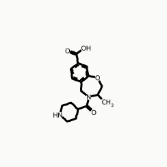 CC1COc2cc(C(=O)O)ccc2CN1C(=O)C1CCNCC1